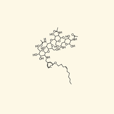 CCCCCC/C=C\CCCOc1cccc(CN[C@@H]2C(OC3C(CO)OC(OC4C(CO)OC(OC5C(COS)OC(O)C(NC(C)=O)C5O)C(NC(C)=O)C4O)[C@@H](NC(C)=O)C3O)OC(CO)C(O)C2O)c1